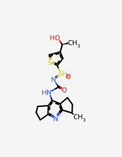 C[C@H](O)c1csc(/[SH](=O)=N/C(=O)Nc2c3c(nc4c2CC[C@H]4C)CCC3)c1